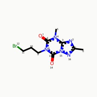 Cc1nc2n(C)c(=O)n(CCCBr)c(=O)n2n1